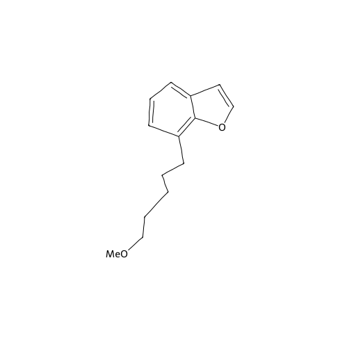 [CH2]OCCCCCc1cccc2ccoc12